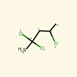 CC(Cl)CC([SiH3])(Cl)Cl